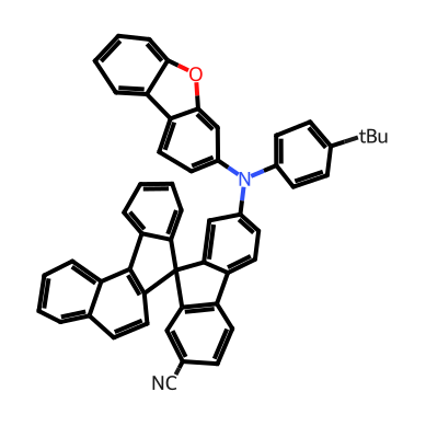 CC(C)(C)c1ccc(N(c2ccc3c(c2)C2(c4cc(C#N)ccc4-3)c3ccccc3-c3c2ccc2ccccc32)c2ccc3c(c2)oc2ccccc23)cc1